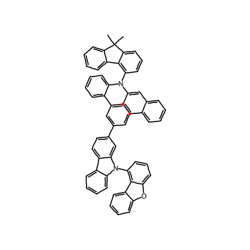 CC1(C)c2ccccc2-c2c(N(c3ccc4ccccc4c3)c3ccccc3-c3cccc(-c4ccc5c6ccccc6n(-c6cccc7oc8ccccc8c67)c5c4)c3)cccc21